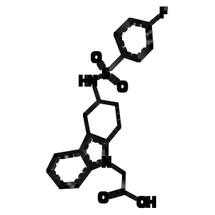 O=C(O)Cn1c2c(c3ccccc31)CC(NS(=O)(=O)c1ccc(F)cc1)CC2